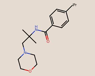 CC(C)c1ccc(C(=O)NC(C)(C)CN2CCOCC2)cc1